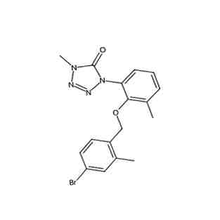 Cc1cc(Br)ccc1COc1c(C)cccc1-n1nnn(C)c1=O